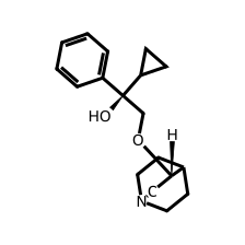 O[C@@](CO[C@H]1CN2CCC1CC2)(c1ccccc1)C1CC1